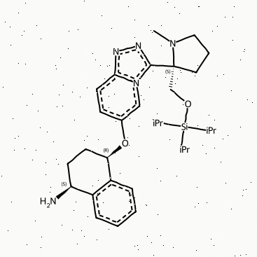 CC(C)[Si](OC[C@@]1(c2nnc3ccc(O[C@@H]4CC[C@H](N)c5ccccc54)cn23)CCCN1C)(C(C)C)C(C)C